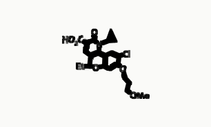 CCC1Oc2cc(OCCCOC)c(Cl)cc2-c2c1cc(C(=O)O)c(=O)n2C1CC1